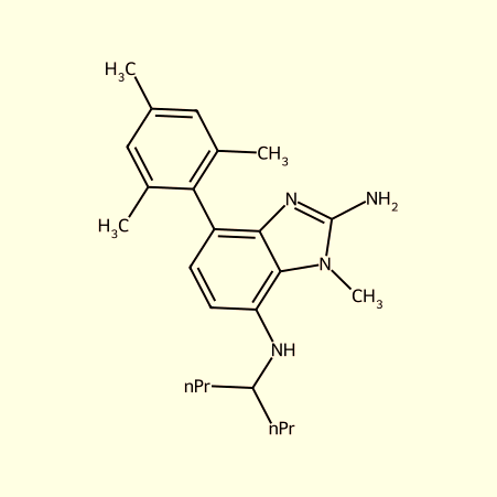 CCCC(CCC)Nc1ccc(-c2c(C)cc(C)cc2C)c2nc(N)n(C)c12